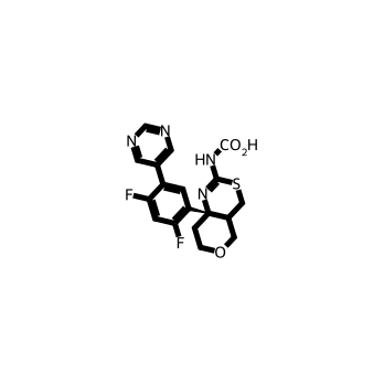 O=C(O)NC1=N[C@@]2(c3cc(-c4cncnc4)c(F)cc3F)CCOCC2CS1